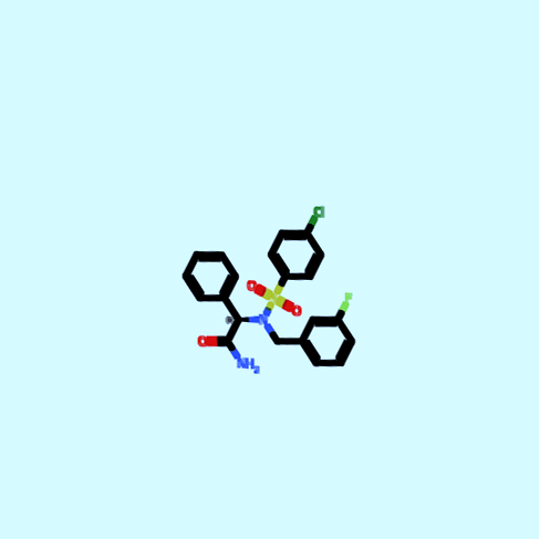 NC(=O)[C@@H](c1ccccc1)N(Cc1cccc(F)c1)S(=O)(=O)c1ccc(Cl)cc1